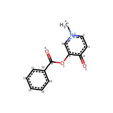 Cn1ccc(=O)c(OC(=O)c2ccccc2)c1